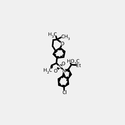 C=CC(c1ccc2c(c1)CCC(C)(C)O2)S(=O)(=O)n1c(C(CC)C(=O)O)cc2cc(Cl)ccc21